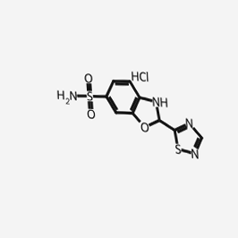 Cl.NS(=O)(=O)c1ccc2c(c1)OC(c1ncns1)N2